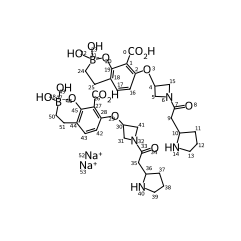 O=C(O)c1c(OC2CN(C(=O)CC3CCCN3)C2)ccc2c1O[B-](O)(O)CC2.O=C(O)c1c(OC2CN(C(=O)CC3CCCN3)C2)ccc2c1O[B-](O)(O)CC2.[Na+].[Na+]